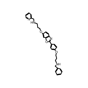 c1ccc(CNCCCOc2ccc(-c3nc4ccc(OCCCNCc5ccccn5)cc4o3)cc2)cc1